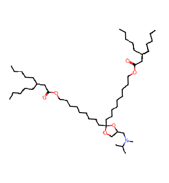 CCCCCC(CCCCC)CC(=O)OCCCCCCCCCC1(CCCCCCCCCOC(=O)CC(CCCCC)CCCCC)OCC(CN(C)C(C)C)O1